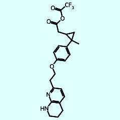 CC1(c2ccc(OCCc3ccc4c(n3)NCCC4)cc2)CC1CC(=O)OC(=O)C(F)(F)F